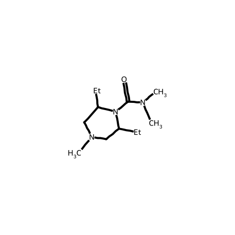 CCC1CN(C)CC(CC)N1C(=O)N(C)C